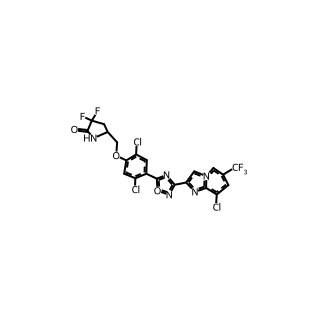 O=C1NC(COc2cc(Cl)c(-c3nc(-c4cn5cc(C(F)(F)F)cc(Cl)c5n4)no3)cc2Cl)CC1(F)F